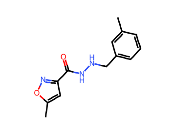 Cc1cccc(CNNC(=O)c2cc(C)on2)c1